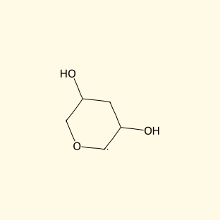 OC1[CH]OCC(O)C1